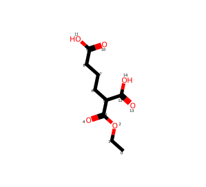 CCOC(=O)C(CCCC(=O)O)C(=O)O